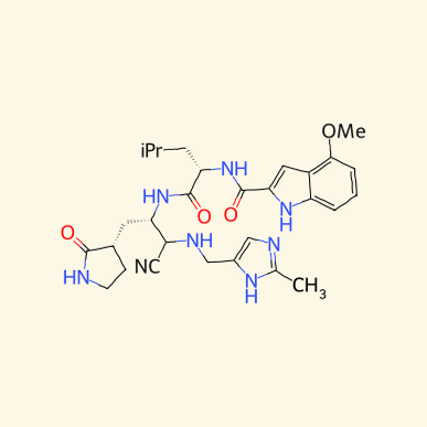 COc1cccc2[nH]c(C(=O)N[C@@H](CC(C)C)C(=O)N[C@@H](C[C@@H]3CCNC3=O)C(C#N)NCc3cnc(C)[nH]3)cc12